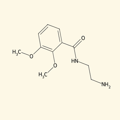 COc1cccc(C(=O)NCCN)c1OC